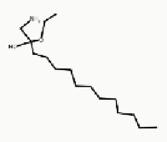 CCCCCCCCCCCCC(O)(CN)OCC